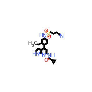 CCc1cc(NS(=O)(=O)CCCC#N)ccc1-c1cc(NC(=O)C2CC2)nc2[nH]ccc12